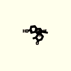 CC1C(=O)CC[C@H]2[C@H]3Cc4ccc(O)cc4[C@@]12CCN3C